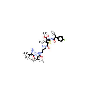 CCC(C(=O)Nc1sc(C(=O)NCCCNC(=O)[C@@H](NC(=O)[C@@H](N)C(C)C)C(C)C)c(C)c1C(=O)OC)c1ccc(F)cc1